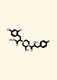 CCCC1CN(C(Cc2ccc(Cl)cc2Cl)C(=O)NC)CCN1C(=O)C(N)Cc1ccc(F)cc1